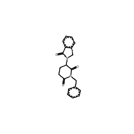 O=C1CCC(N2Cc3ccccc3C2=O)C(=O)N1Cc1ccccc1